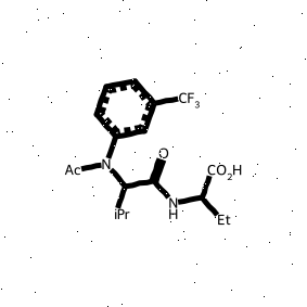 CCC(NC(=O)C(C(C)C)N(C(C)=O)c1cccc(C(F)(F)F)c1)C(=O)O